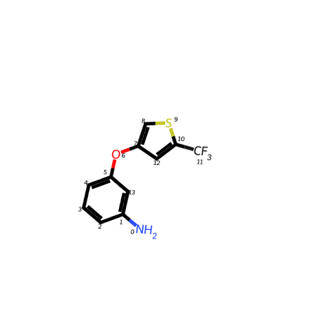 Nc1cccc(Oc2csc(C(F)(F)F)c2)c1